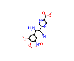 COC(=O)c1cnc(C(C#N)=C(N)c2cc(OC)c(OC)c([N+](=O)[O-])c2)cn1